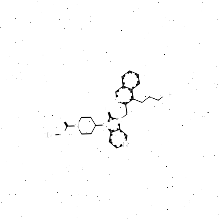 CC(C)(C)OC(=O)N1CCC(n2c(=O)n(Cc3ncc4ccccc4c3CCCC(F)(F)F)c3cnccc32)CC1